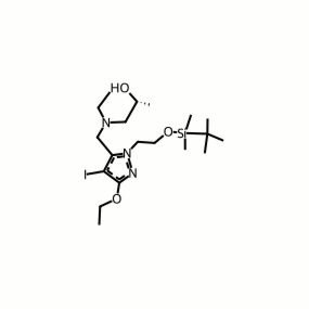 CCOc1nn(CCO[Si](C)(C)C(C)(C)C)c(CN(CC)C[C@@H](C)O)c1I